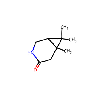 CC1(C)C2CNC(=O)CC21C